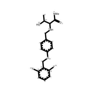 CNC(=O)C(NCc1ccc(OCc2c(F)cccc2F)cc1)C(C)O